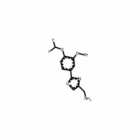 CC(C)Oc1cc(-c2nc(CN)co2)ccc1OC(F)F